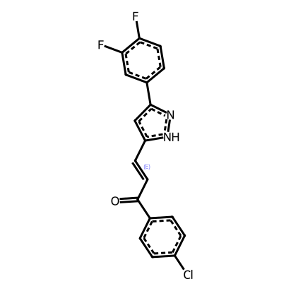 O=C(/C=C/c1cc(-c2ccc(F)c(F)c2)n[nH]1)c1ccc(Cl)cc1